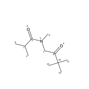 CC(C)C(=O)N(C)CC(=O)C(C)(C)C